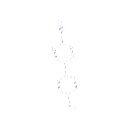 N#Cc1ccc(-c2[c]cc(C(=O)O)cn2)cn1